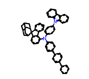 c1ccc(-c2ccc(-c3ccc(N(c4ccc(-n5c6ccccc6c6ccccc65)cc4)c4cccc5c4-c4ccccc4C54C5CC6CC(C5)CC4C6)cc3)cc2)cc1